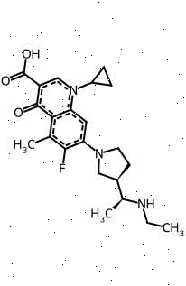 CCN[C@@H](C)[C@@H]1CCN(c2cc3c(c(C)c2F)c(=O)c(C(=O)O)cn3C2CC2)C1